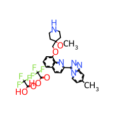 COC1(COc2cccc3ccc(-c4nnc5cc(C)ccn45)nc23)CCNCC1.O=C(O)C(F)(F)F.O=C(O)C(F)(F)F